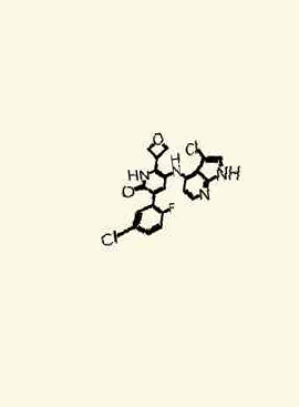 O=c1[nH]c(C2COC2)c(Nc2ccnc3[nH]cc(Cl)c23)cc1-c1cc(Cl)ccc1F